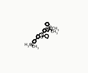 CC(C)/C(=C/c1cccc(N(Cc2ccc(-c3ccc(N(C)C)cc3)cc2)C(=O)C2CCCCC2)c1)S(=O)(=O)c1ccccc1